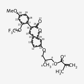 C=C(C)C(=O)OCC(C)COc1ccc2cc(-c3ccc(OC)cc3OC(F)(F)F)c(=O)oc2c1